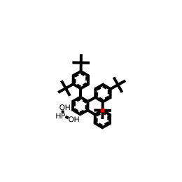 CC(C)(C)c1ccc(-c2cccc(-c3ccccc3)c2-c2ccc(C(C)(C)C)cc2C(C)(C)C)c(C(C)(C)C)c1.OPO